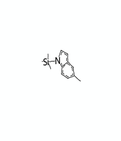 Cc1ccc2c(ccn2[Si](C)(C)C)c1